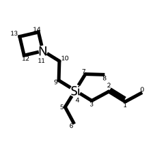 CC=CC[Si](CC)(CC)CCN1CCC1